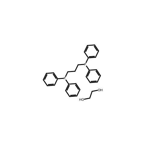 OCCO.c1ccc(P(CCCP(c2ccccc2)c2ccccc2)c2ccccc2)cc1